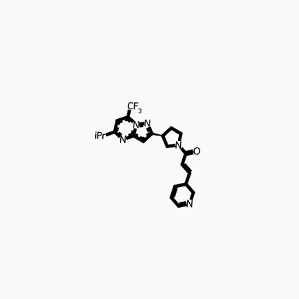 CC(C)c1cc(C(F)(F)F)n2nc([C@H]3CCN(C(=O)/C=C/C4C=CC=NC4)C3)cc2n1